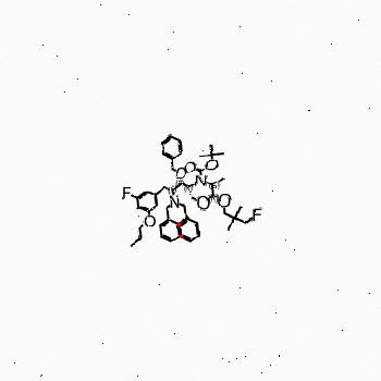 CCCOc1cc(F)cc(C[C@@H]([C@H](OCc2ccccc2)[C@H]2CO[C@@H](OCC(C)(C)CF)[C@H](C)N2C(=O)OC(C)(C)C)N(Cc2ccccc2)Cc2ccccc2)c1